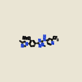 COc1cc(-c2nc(Nc3ccnc(C(F)(F)F)c3)n(C)n2)ccc1-n1cnc(C)c1